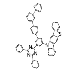 c1ccc(-c2cccc(-c3ccc(-c4cc(-c5nc(-c6ccccc6)nc(-c6ccccc6)n5)cc(-n5c6ccccc6c6cc7sc8ccccc8c7cc65)c4)cc3)c2)cc1